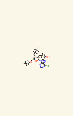 CC(C)(C[C@@H]1[C@@H](CO[Si](C)(C)C(C)(C)C)OC(n2cnc3c(Cl)ncnc32)[C@@H]1CC(C)(C)[Si](C)(C)O)[Si](C)(C)O